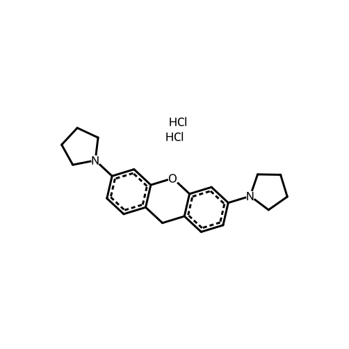 Cl.Cl.c1cc2c(cc1N1CCCC1)Oc1cc(N3CCCC3)ccc1C2